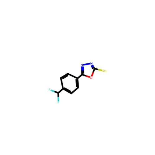 FC(F)c1ccc(-c2nnc(S)o2)cc1